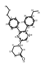 CCCc1ccc(-c2nc(N3CCCC(=O)C3)cnc2-c2ccc(CC)cc2)cc1